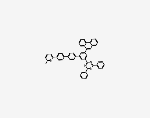 Cc1cccc(-c2ccc(-c3ccc(-c4cc(-c5nc(-c6ccccc6)nc(-c6ccccc6)n5)cc(-c5cc6ccccc6c6ccccc56)c4)cc3)cc2)n1